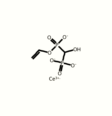 C=COP(=O)([O-])C(O)P(=O)([O-])[O-].[Ce+3]